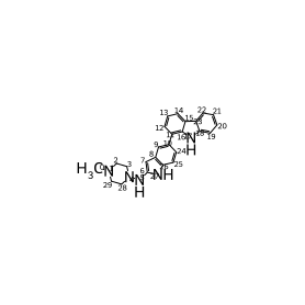 CN1CCN(Nc2cc3cc(-c4cccc5c4[nH]c4ccccc45)ccc3[nH]2)CC1